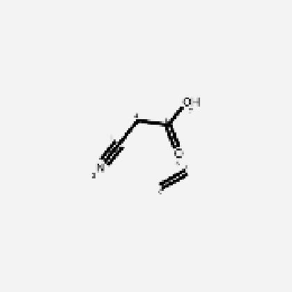 C=C.N#CCC(=O)O